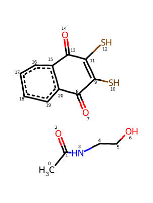 CC(=O)NCCO.O=C1C(S)=C(S)C(=O)c2ccccc21